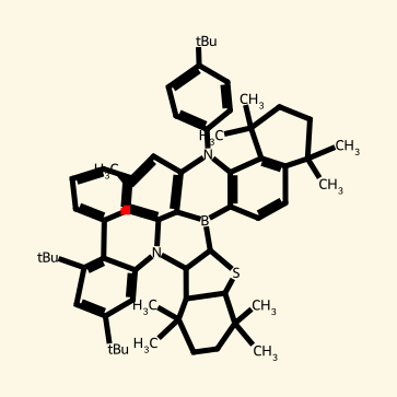 Cc1cc2c3c(c1)N(c1cc(C(C)(C)C)cc(C(C)(C)C)c1-c1ccccc1)C1C(SC4C1C(C)(C)CCC4(C)C)B3c1ccc3c(c1N2c1ccc(C(C)(C)C)cc1)C(C)(C)CCC3(C)C